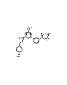 COc1ccc(CCNc2cc(-c3cccc(C(=O)/C=C(/C)N(C)C)c3)nc(OC)n2)cc1